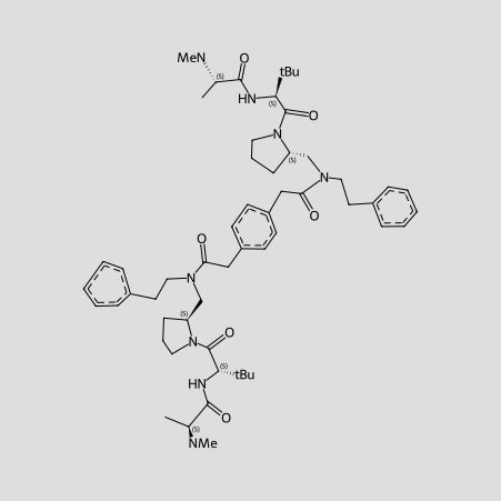 CN[C@@H](C)C(=O)N[C@H](C(=O)N1CCC[C@H]1CN(CCc1ccccc1)C(=O)Cc1ccc(CC(=O)N(CCc2ccccc2)C[C@@H]2CCCN2C(=O)[C@@H](NC(=O)[C@H](C)NC)C(C)(C)C)cc1)C(C)(C)C